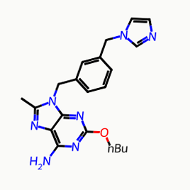 CCCCOc1nc(N)c2nc(C)n(Cc3cccc(Cn4ccnc4)c3)c2n1